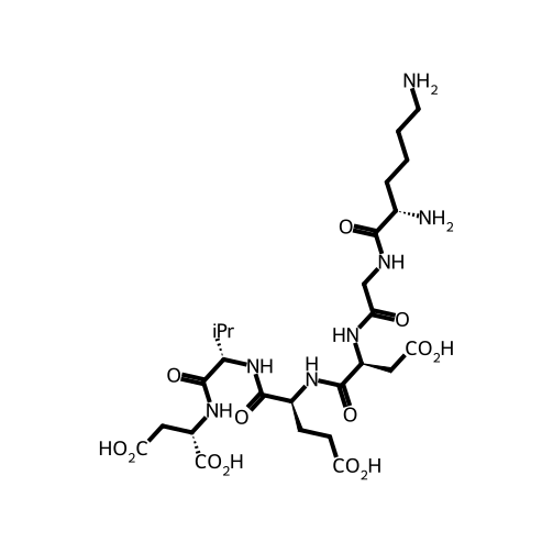 CC(C)[C@H](NC(=O)[C@H](CCC(=O)O)NC(=O)[C@H](CC(=O)O)NC(=O)CNC(=O)[C@@H](N)CCCCN)C(=O)N[C@@H](CC(=O)O)C(=O)O